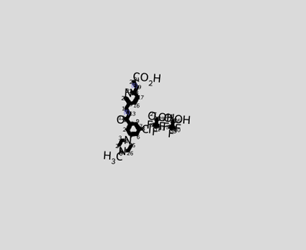 CN1CCN(c2cc(Cl)cc(C(=O)/C=C/c3ccc(/C=C/C(=O)O)nc3)c2)CC1.O=C(O)C(F)(F)F.O=C(O)C(F)(F)F